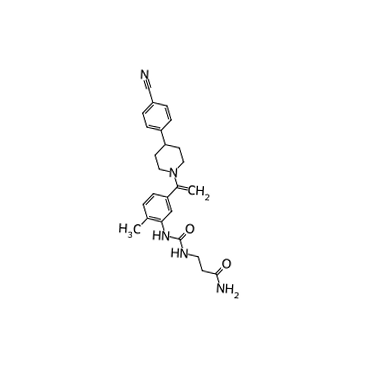 C=C(c1ccc(C)c(NC(=O)NCCC(N)=O)c1)N1CCC(c2ccc(C#N)cc2)CC1